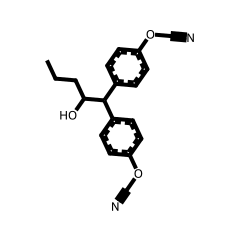 CCCC(O)C(c1ccc(OC#N)cc1)c1ccc(OC#N)cc1